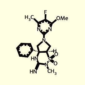 COc1nc(N2C[C@@H]3[C@](c4ccccc4)(C2)NC(=N)N(C)S3(=O)=O)nc(C)c1F